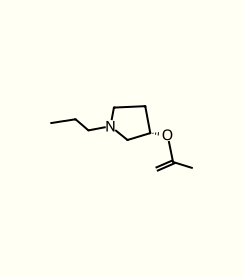 C=C(C)O[C@H]1CCN(CCC)C1